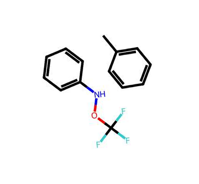 Cc1ccccc1.FC(F)(F)ONc1ccccc1